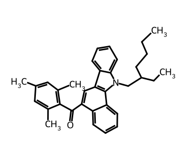 CCCCC(CC)Cn1c2ccccc2c2cc(C(=O)c3c(C)cc(C)cc3C)c3ccccc3c21